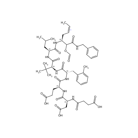 C/C=C\C[C@H](NC(=O)[C@H](CC(C)C)NC(=O)[C@@H](NC(=O)[C@H](Cc1ccccc1C)NC(=O)[C@H](CCC(=O)O)NC(=O)[C@H](CC(=O)O)NC(=O)CCC(=O)O)C(C)(C)C)C(OC=O)C(=O)NCc1ccccc1